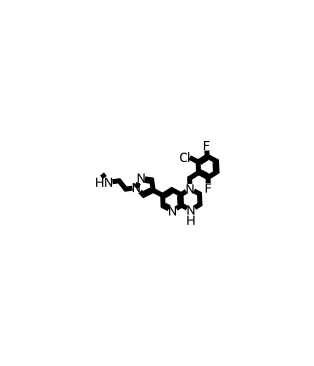 CNCCn1cc(-c2cnc3c(c2)N(Cc2c(F)ccc(F)c2Cl)CCN3)cn1